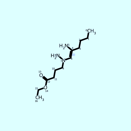 CCCC/C(N)=C/N(N)CCCC(=O)OCC